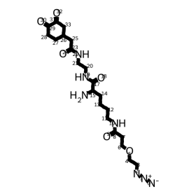 [N-]=[N+]=NCCOCCC(=O)NCCCCC(N)C(=O)NCCNC(=O)CC1CCC(=O)C(=O)C1